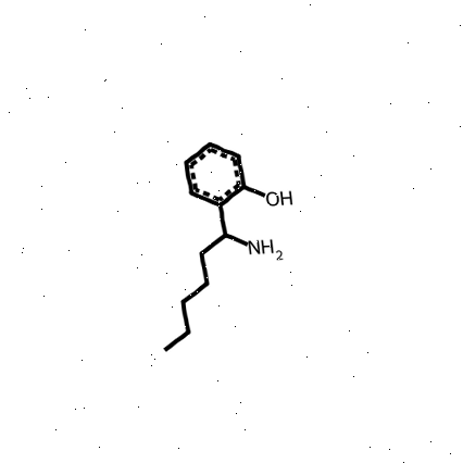 CCCCCC(N)c1ccccc1O